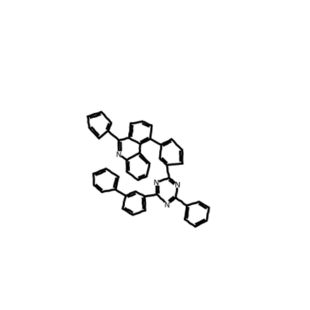 c1ccc(-c2cccc(-c3nc(-c4ccccc4)nc(-c4cccc(-c5cccc6c(-c7ccccc7)nc7ccccc7c56)c4)n3)c2)cc1